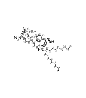 CCCCCCCCCC(CCCCCCCCC)NC(=O)c1ccc2c3ccc(C(N)=O)c4c(C(N)=O)ccc(c5ccc(C(=O)N=N)c1c52)c43